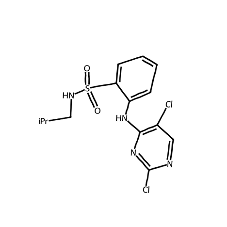 CC(C)CNS(=O)(=O)c1ccccc1Nc1nc(Cl)ncc1Cl